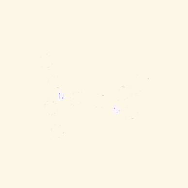 c1ccc(-c2ccc(N(c3ccc(-c4ccc(-c5nc6ccccc6c6c5ccc5c7ccccc7sc56)cc4)cc3)c3cccc(-c4ccccc4)c3)cc2)cc1